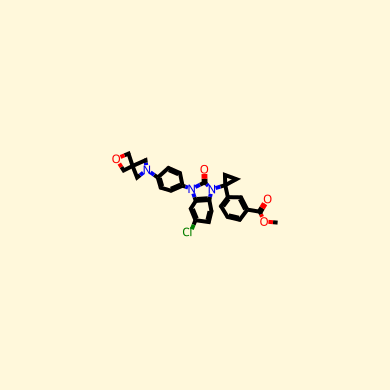 COC(=O)c1cccc(C2(n3c(=O)n(-c4ccc(N5CC6(COC6)C5)cc4)c4cc(Cl)ccc43)CC2)c1